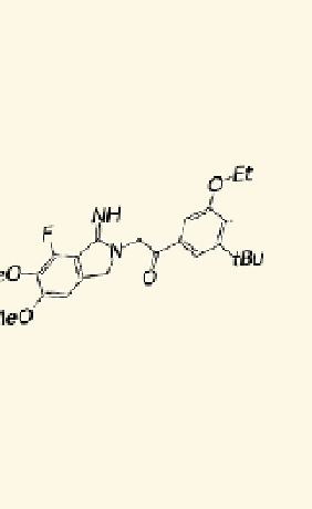 CCOc1[c]c(C(C)(C)C)cc(C(=O)CN2Cc3cc(OC)c(OC)c(F)c3C2=N)c1